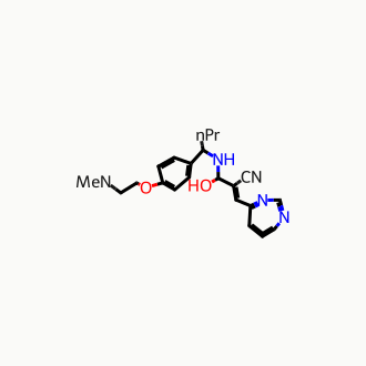 CCCC(NC(O)/C(C#N)=C/C1=NC=NC=C=C1)c1ccc(OCCNC)cc1